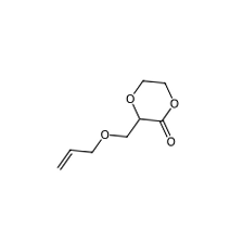 C=CCOCC1OCCOC1=O